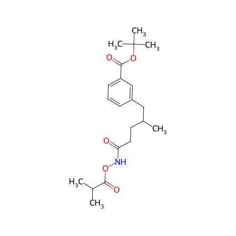 CC(CCC(=O)NOC(=O)C(C)C)Cc1cccc(C(=O)OC(C)(C)C)c1